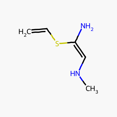 C=CS/C(N)=C\NC